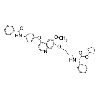 COc1cc2c(Oc3ccc(NC(=O)c4ccccc4)cc3)ccnc2cc1OCCCCN[C@H](C(=O)OC1CCCC1)c1ccccc1